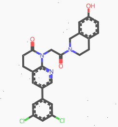 O=C(CN1C(=O)CCc2cc(-c3cc(Cl)cc(Cl)c3)cnc21)N1CCc2ccc(O)cc2C1